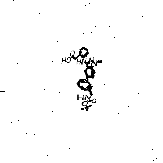 Cn1nc(Nc2ccccc2CC(=O)O)c2cc(-c3cccc(CNC(=O)OC(C)(C)C)c3)ccc21